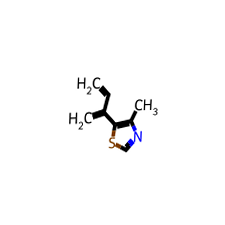 C=CC(=C)c1scnc1C